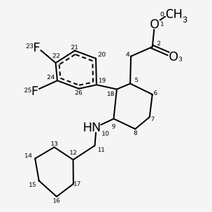 COC(=O)CC1CCCC(NCC2CCCCC2)C1c1ccc(F)c(F)c1